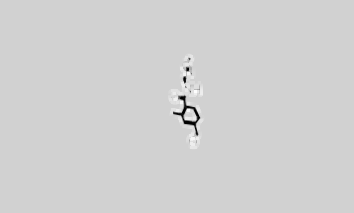 CON=CNC(=O)c1ccc(C=O)cc1C